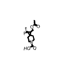 CC(=O)OCC1C(F)(F)C12CCN(C(=O)O)CC2